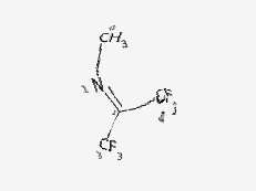 CN=C(C(F)(F)F)C(F)(F)F